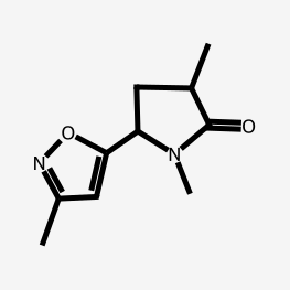 Cc1cc(C2CC(C)C(=O)N2C)on1